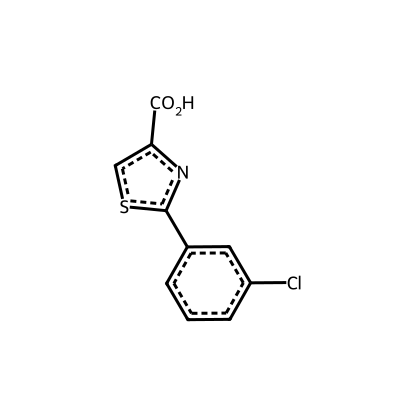 O=C(O)c1csc(-c2cccc(Cl)c2)n1